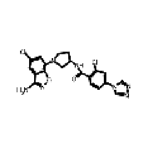 Nc1noc2c(N3CC[C@@H](NC(=O)c4ccc(-n5cnnc5)cc4Cl)C3)cc(Cl)cc12